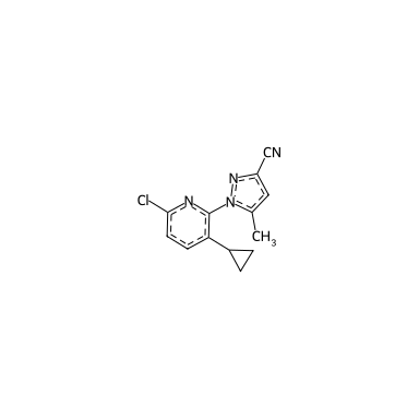 Cc1cc(C#N)nn1-c1nc(Cl)ccc1C1CC1